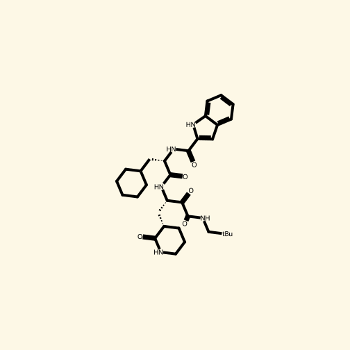 CC(C)(C)CNC(=O)C(=O)[C@H](C[C@@H]1CCCNC1=O)NC(=O)[C@H](CC1CCCCC1)NC(=O)c1cc2ccccc2[nH]1